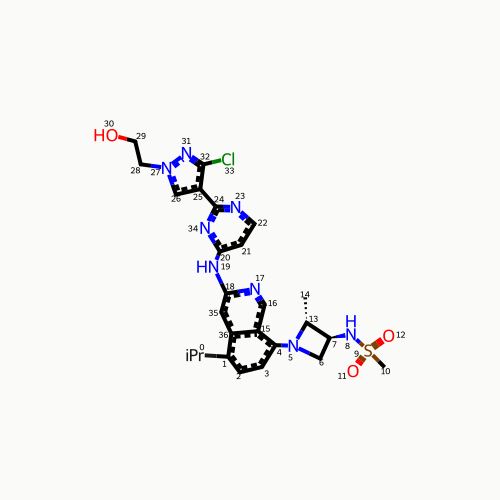 CC(C)c1ccc(N2C[C@H](NS(C)(=O)=O)[C@H]2C)c2cnc(Nc3ccnc(-c4cn(CCO)nc4Cl)n3)cc12